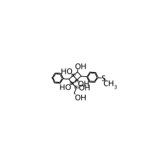 CSc1ccc(C2C(O)[C@@]3(O)C(c4ccccc4)[C@@](O)([C@H](O)CO)[C@@]23O)cc1